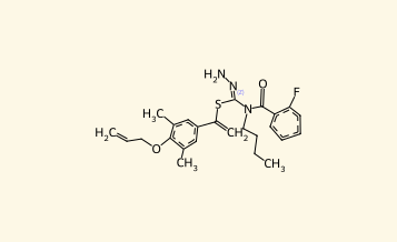 C=CCOc1c(C)cc(C(=C)S/C(=N\N)N(CCCC)C(=O)c2ccccc2F)cc1C